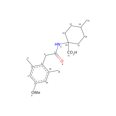 COc1cc(C)c(CC(=O)NC2(C(=O)O)CCC(C)CC2)c(C)c1